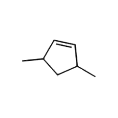 CC1[CH]C(C)C=C1